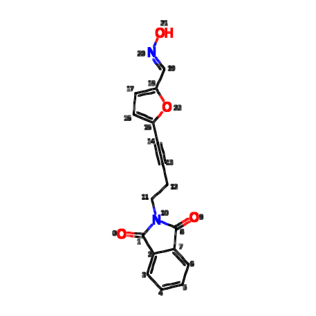 O=C1c2ccccc2C(=O)N1CCC#Cc1ccc(/C=N/O)o1